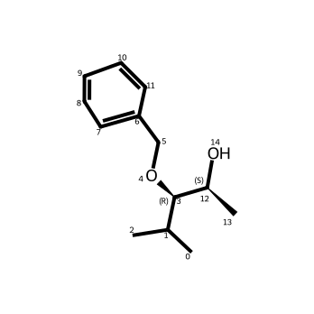 CC(C)[C@@H](OCc1ccccc1)[C@H](C)O